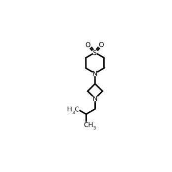 CC(C)CN1CC(N2CCS(=O)(=O)CC2)C1